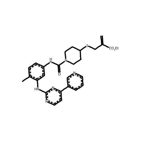 C=C(CSC1CCN(C(=O)Nc2ccc(C)c(Nc3nccc(-c4cccnc4)n3)c2)CC1)C(=O)OCC